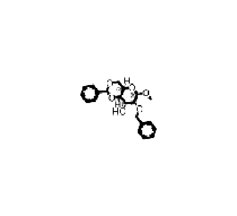 CO[C@@H]1O[C@@H]2COC(c3ccccc3)O[C@@H]2[C@H](O)[C@H]1OCc1ccccc1